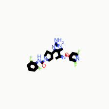 CC(=NOc1cc(F)nc(F)c1)c1cnc(N)nc1C1CCN(C(=O)Nc2c(F)cccc2F)CC1